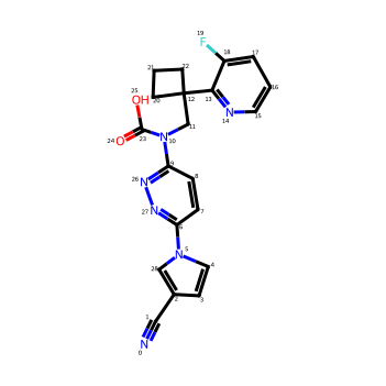 N#Cc1ccn(-c2ccc(N(CC3(c4ncccc4F)CCC3)C(=O)O)nn2)c1